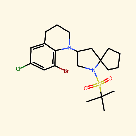 CC(C)(C)S(=O)(=O)N1CC(N2CCCc3cc(Cl)cc(Br)c32)CC12CCCC2